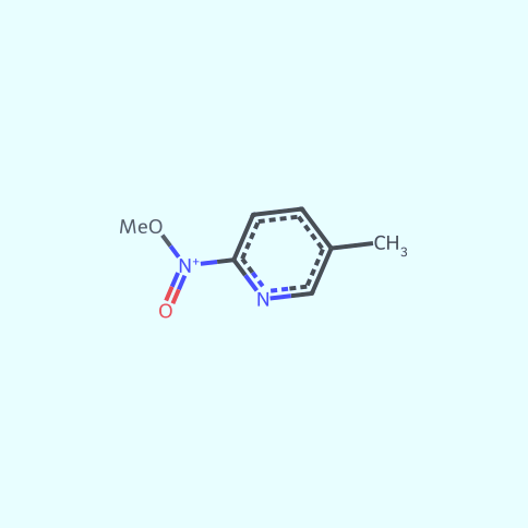 CO[N+](=O)c1ccc(C)cn1